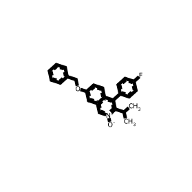 CC(C)c1c(-c2ccc(F)cc2)c2ccc(OCc3ccccc3)cc2c[n+]1[O-]